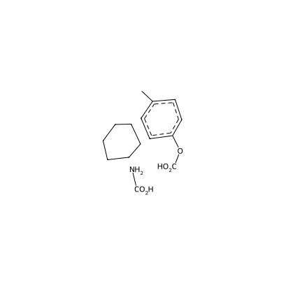 C1CCCCC1.Cc1ccc(OC(=O)O)cc1.NC(=O)O